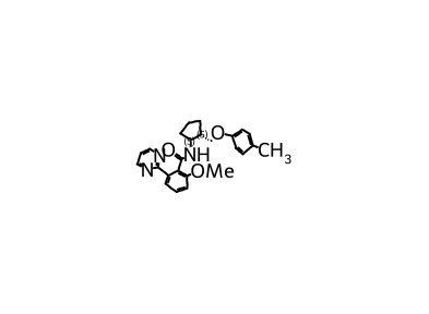 COc1cccc(-c2ncccn2)c1C(=O)N[C@H]1CCC[C@@H]1COc1ccc(C)cc1